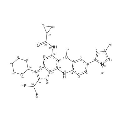 COc1cc(-c2nc(C)nn2C)ccc1Nc1cc(NC(=O)C2CC2)nc2c1nc(C(F)F)n2C1CCCCO1